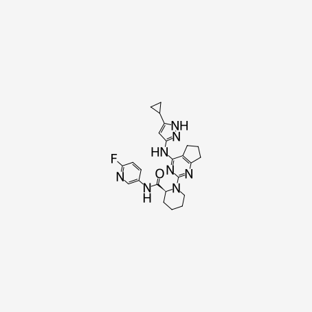 O=C(Nc1ccc(F)nc1)[C@@H]1CCCCN1c1nc2c(c(Nc3cc(C4CC4)[nH]n3)n1)CCC2